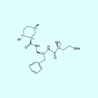 CSCC[C@H](N)C(=O)N[C@H](CNC(=O)[C@@H]1C[C@H](C)CC[C@H]1C(C)C)Cc1ccccc1